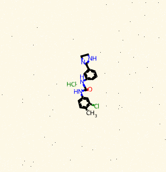 Cc1ccc(NC(=O)Nc2cccc(C3=NCCN3)c2)cc1Cl.Cl